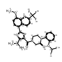 COc1ccc(-c2nc(C(=O)N3CCN(c4ccccc4OC(F)F)C(=O)C3)c([C@H](C)N)o2)c2ccc(C(F)(F)F)nc12